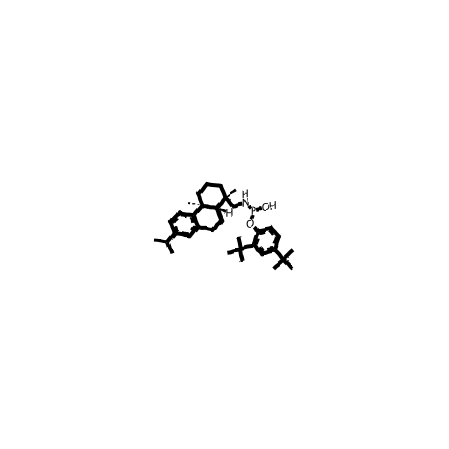 CC(C)c1ccc2c(c1)CC[C@H]1[C@@](C)(CNP(O)Oc3ccc(C(C)(C)C)cc3C(C)(C)C)CCC[C@]21C